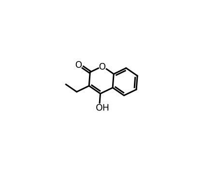 CCc1c(O)c2ccccc2oc1=O